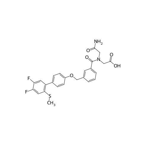 CSc1cc(F)c(F)cc1-c1ccc(OCc2cccc(C(=O)N(CC(N)=O)CC(=O)O)c2)cc1